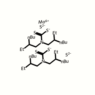 CCCCC(CC)CN(CC(CC)CCCC)C(=S)[S-].CCCCC(CC)CN(CC(CC)CCCC)C(=S)[S-].[Mo+6].[S-2].[S-2]